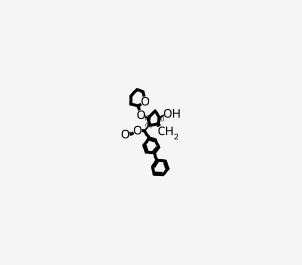 C=C1[C@H](O)C[C@H](OC2CCCCO2)[C@@H]1C(OC=O)c1ccc(-c2ccccc2)cc1